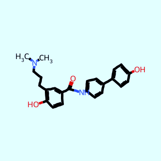 CN(C)CCCc1cc(C(=O)Nc2ccc(-c3ccc(O)cc3)cc2)ccc1O